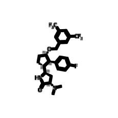 CN(C)[C@H]1C[C@H]([C@@H]2CC[C@H](OCc3cc(C(F)(F)F)cc(C(F)(F)F)c3)[C@H]2c2ccc(F)cc2)NC1=O